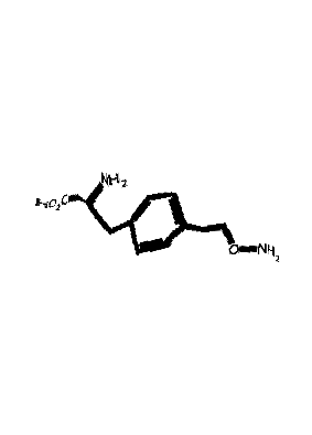 NOCc1ccc(C[C@H](N)C(=O)O)cc1